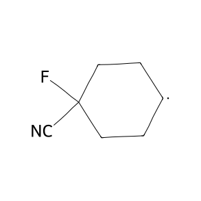 N#CC1(F)CC[CH]CC1